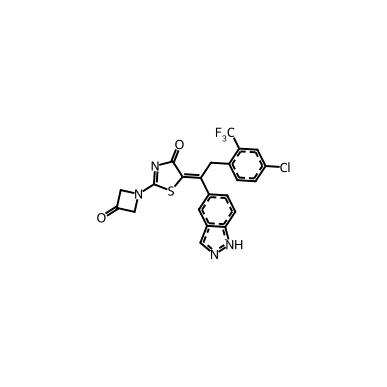 O=C1CN(C2=NC(=O)C(=C(Cc3ccc(Cl)cc3C(F)(F)F)c3ccc4[nH]ncc4c3)S2)C1